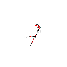 CCCCCCCCCCCCN(CCCCCCCCCCCC)CCCCCCNC(=O)CC[C@@H](C)C1CCC2C3CCC4CCCCC4(C)C3CCC21C